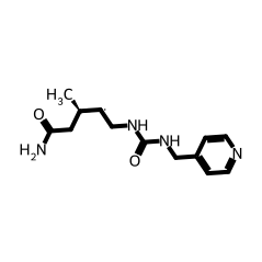 C[C@@H]([CH]CNC(=O)NCc1ccncc1)CC(N)=O